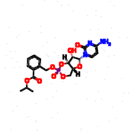 CC(C)OC(=O)c1ccccc1COP1(=O)OC[C@H]2O[C@@H](n3ccc(N)nc3=O)[C@@H](O)[C@@H]2O1